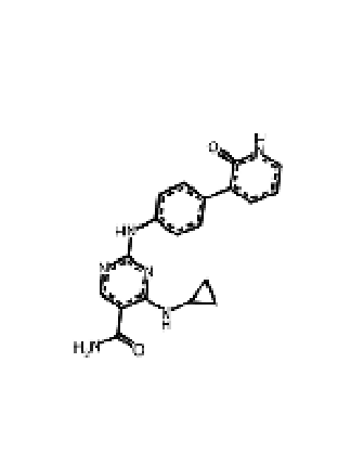 NC(=O)c1cnc(Nc2ccc(-c3ccc[nH]c3=O)cc2)nc1NC1CC1